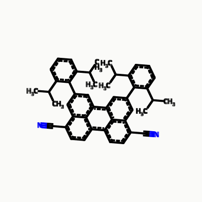 CC(C)c1cccc(C(C)C)c1-c1cc2c(C#N)ccc3c4ccc(C#N)c5cc(-c6c(C(C)C)cccc6C(C)C)cc(c(c1)c23)c54